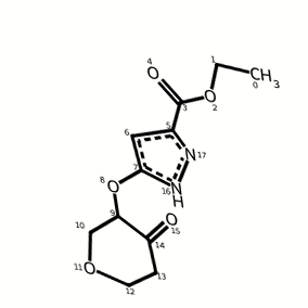 CCOC(=O)c1cc(OC2COCCC2=O)[nH]n1